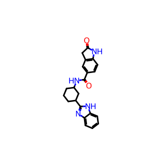 O=C1Cc2cc(C(=O)NC3CCCC(c4nc5ccccc5[nH]4)C3)ccc2N1